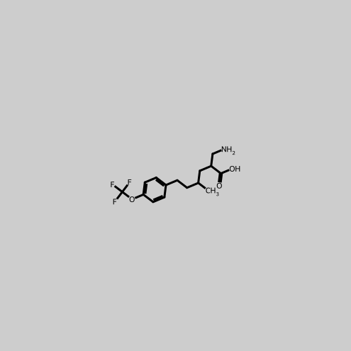 CC(CCc1ccc(OC(F)(F)F)cc1)CC(CN)C(=O)O